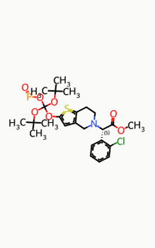 COC(=O)[C@H](c1ccccc1Cl)N1CCc2sc(OC(OP=O)(OC(C)(C)C)OC(C)(C)C)cc2C1